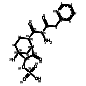 NN(C(=O)Cc1ccccn1)C(=O)[C@@H]1CC[C@@H]2CN1C(=O)N2OS(=O)(=O)O